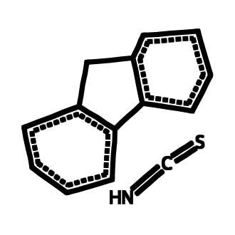 N=C=S.c1ccc2c(c1)Cc1ccccc1-2